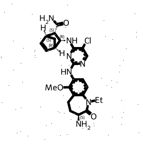 CCN1C(=O)[C@@H](N)CCc2c1ccc(Nc1ncc(Cl)c(N[C@H]3[C@@H](C(N)=O)[C@@H]4C=C[C@H]3C4)n1)c2OC